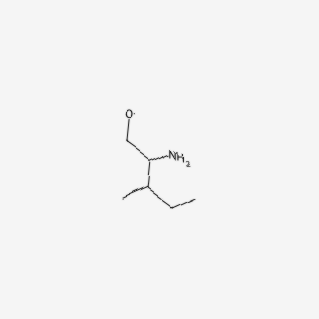 CCC(C)C(N)C[O]